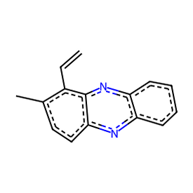 C=Cc1c(C)ccc2nc3ccccc3nc12